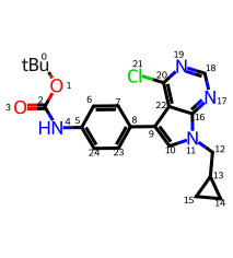 CC(C)(C)OC(=O)Nc1ccc(-c2cn(CC3CC3)c3ncnc(Cl)c23)cc1